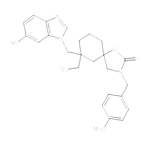 COc1ccc(CN2CC3(CCCC(CC#N)(Cn4cnc5ccc(C#N)cc54)C3)OC2=O)cc1